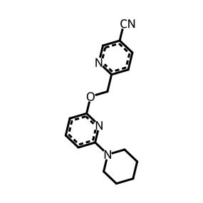 N#Cc1ccc(COc2cccc(N3CCCCC3)n2)nc1